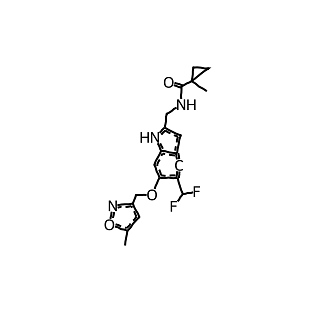 Cc1cc(COc2cc3[nH]c(CNC(=O)C4(C)CC4)cc3cc2C(F)F)no1